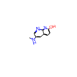 CNc1cnc2nc(O)ccc2c1